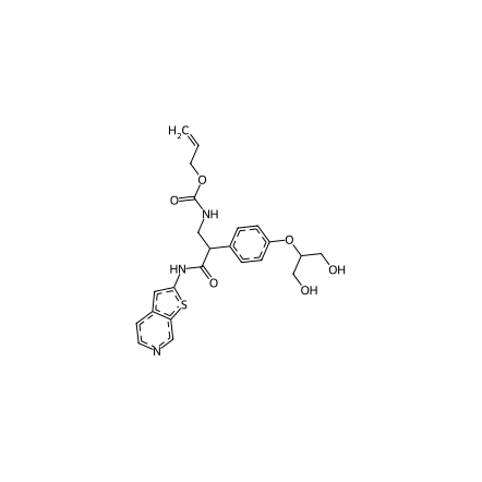 C=CCOC(=O)NCC(C(=O)Nc1cc2ccncc2s1)c1ccc(OC(CO)CO)cc1